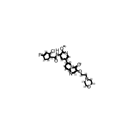 COc1ncc(-c2ccc3ncc(OCCN4CCOCC4)c(=O)n3c2)cc1NC(=O)C1=C(Cl)C=C(F)CC1